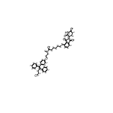 CN(CCOc1ccc(/C(=C(/CCCl)c2ccccc2)c2ccccc2)cc1)C(=O)CCCCCSc1cccc2c1C(=O)N(C1CCC(=O)NC1=O)C2=O